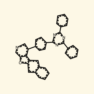 c1ccc(-c2nc(-c3ccccc3)nc(-c3ccc(-c4cncc5oc6cc7ccccc7cc6c45)cc3)n2)cc1